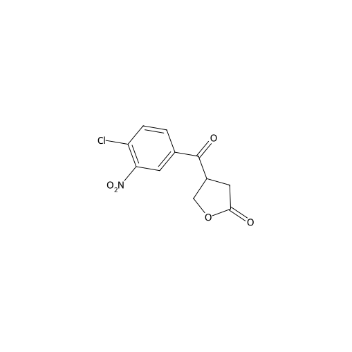 O=C1CC(C(=O)c2ccc(Cl)c([N+](=O)[O-])c2)CO1